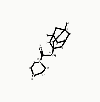 CC12CC3CC(C)(C1)CC(NC(=O)N1CCOCC1)(C3)C2